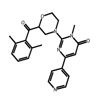 Cc1cccc(C)c1C(=O)C1CN(c2nc(-c3ccncc3)cc(=O)n2C)CCO1